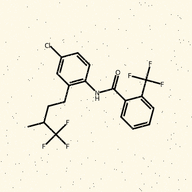 CC(CCc1cc(Cl)ccc1NC(=O)c1ccccc1C(F)(F)F)C(F)(F)F